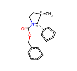 C[C@@H]1CCN(C(=O)OCc2ccccc2)[C@H]1c1ccccc1